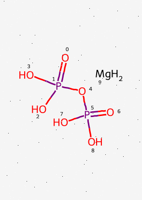 O=P(O)(O)OP(=O)(O)O.[MgH2]